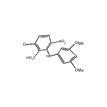 COc1cc(Nc2c([N+](=O)[O-])ccc(Cl)c2C(=O)O)cc(OC)c1